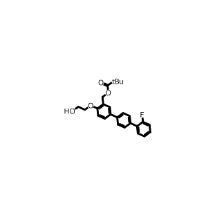 CC(C)(C)C(=O)OCc1cc(-c2ccc(-c3ccccc3F)cc2)ccc1OCCO